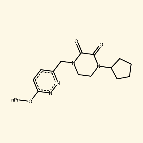 CCCOc1ccc(CN2CCN(C3CCCC3)C(=O)C2=O)nn1